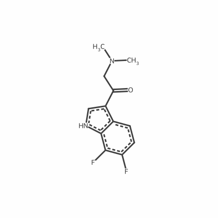 CN(C)CC(=O)c1c[nH]c2c(F)c(F)ccc12